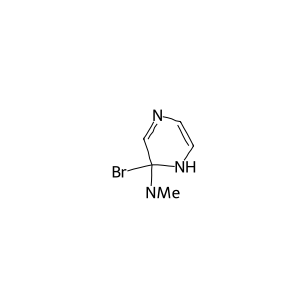 CNC1(Br)C=NC=CN1